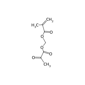 C=C(C)C(=O)OCOC(=O)C(C)=O